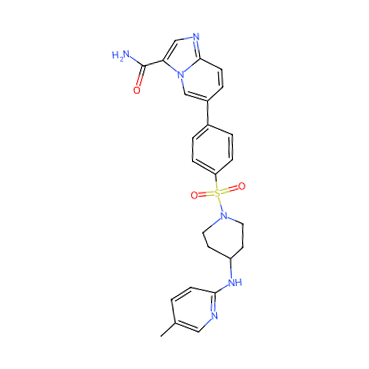 Cc1ccc(NC2CCN(S(=O)(=O)c3ccc(-c4ccc5ncc(C(N)=O)n5c4)cc3)CC2)nc1